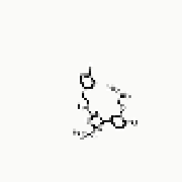 COc1nc(NCCc2ccc(F)cc2)nc(-c2ccc(Cl)c(OCC(=O)O)c2)n1